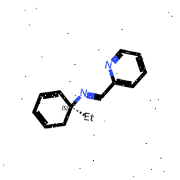 CC[C@@]1(N=Cc2ccccn2)C=CC=CC1